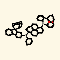 c1ccc(-c2ccccc2N(c2ccccc2)c2ccc3ccc4c(N(c5ccccc5)c5ccc6c(c5)C5(c7ccccc7-6)C6CC7CC(C6)CC5C7)ccc5ccc2c3c54)cc1